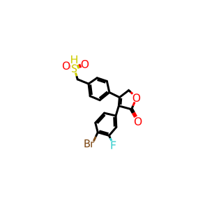 O=C1OCC(c2ccc(C[SH](=O)=O)cc2)=C1c1ccc(Br)c(F)c1